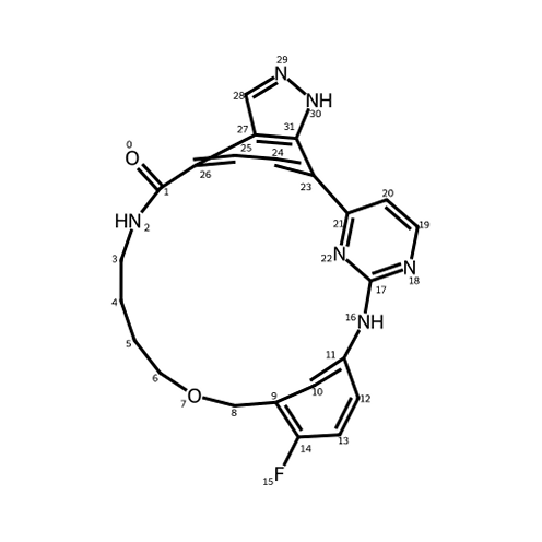 O=C1NCCCCOCc2cc(ccc2F)Nc2nccc(n2)-c2ccc1c1cn[nH]c21